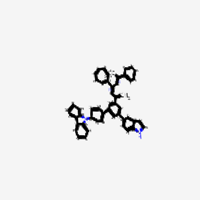 C=C(/C=C(\C=C(/C)c1ccccc1)C1=CCC=CC=C1)c1cc(-c2ccc(-n3c4ccccc4c4ccccc43)cc2)cc(-c2ccc3[nH]ccc3c2)c1